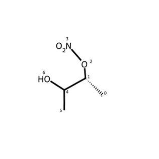 [CH2][C@@H](O[N+](=O)[O-])C(C)O